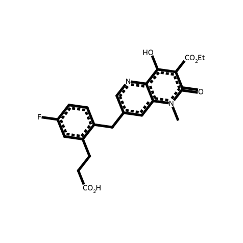 CCOC(=O)c1c(O)c2ncc(Cc3ccc(F)cc3CCC(=O)O)cc2n(C)c1=O